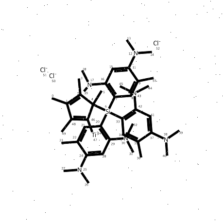 CC1=C(C)C(C)([Si](c2cc(C)c(N(C)C)cc2N(C)C)(c2cc(C)c(N(C)C)cc2N(C)C)c2cc(C)c(N(C)C)cc2N(C)C)[C]([Ti+3])=C1C.[Cl-].[Cl-].[Cl-]